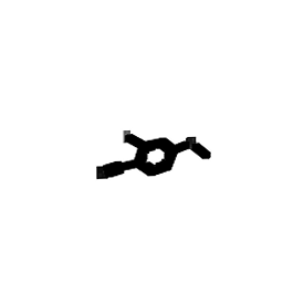 CSc1ccc(C#N)c(I)c1